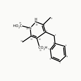 CC1=C(Cc2ccccc2)C(C(=O)O)=C(C)N(C(=O)O)N1